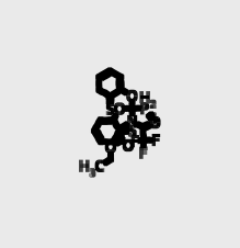 CCOC(=O)CN(C(=O)C(F)(F)F)C(OC1=CC=CCC1=S)(OC1=CC=CCC1=S)[PH2]=S